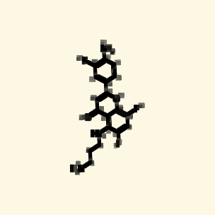 NCCCNc1c(F)cc(F)c2oc(-c3ccc(N)c(F)c3)cc(=O)c12